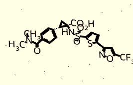 CN(C)C(=O)c1ccc([C@@H]2C[C@]2(NS(=O)(=O)c2ccc(-c3cc(C(F)(F)F)on3)s2)C(=O)O)cc1